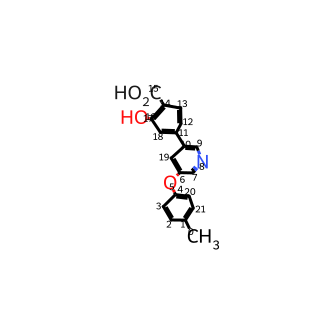 Cc1ccc(Oc2cncc(-c3ccc(C(=O)O)c(O)c3)c2)cc1